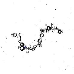 CN1CCC/C(=N\NC(=O)CC(C)(C)SSCCC(=O)N2CCN(C3CCN(C(=O)NCc4ccc(NC(=O)[C@H]5C[C@@H]5c5cccnc5)cc4F)CC3)CC2)c2ccc(OCCCC(=O)O)cc21